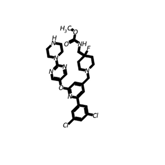 COC(=O)NCC1(F)CCN(Cc2cc(Oc3cnc(N4CCNCC4)nc3)nc(-c3cc(Cl)cc(Cl)c3)c2)CC1